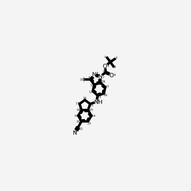 CC(C)(C)OC(=O)n1nc(I)c2cc(NC3CCc4cc(C#N)ccc43)ccc21